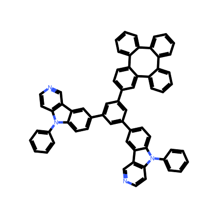 c1ccc(-n2c3ccncc3c3cc(-c4cc(-c5ccc6c(c5)-c5ccccc5-c5ccccc5-c5ccccc5-6)cc(-c5ccc6c(c5)c5cnccc5n6-c5ccccc5)c4)ccc32)cc1